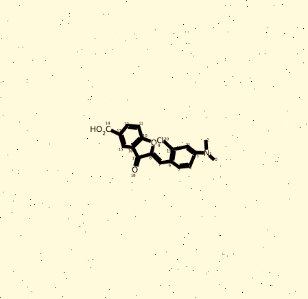 CN(C)c1ccc(/C=C2\Oc3ccc(C(=O)O)cc3C2=O)c(Cl)c1